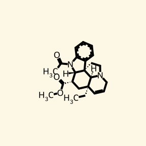 CC[C@]12C=CCN3CC[C@]4(c5ccccc5N(C(C)=O)[C@H]4[C@@H](C(=O)OC)C1)[C@@H]32